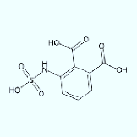 O=C(O)c1cccc(NS(=O)(=O)O)c1C(=O)O